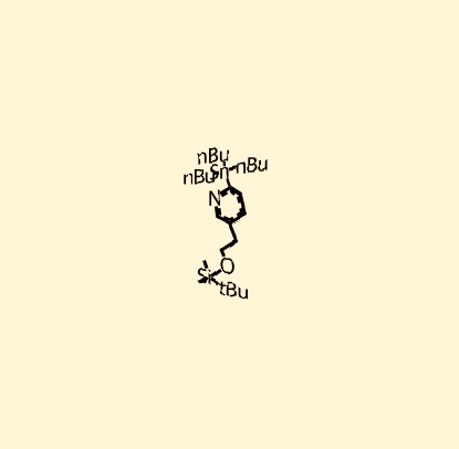 CCC[CH2][Sn]([CH2]CCC)([CH2]CCC)[c]1ccc(CCO[Si](C)(C)C(C)(C)C)cn1